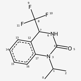 CC(C)N1C(=O)NC(C(F)(F)F)c2ccccc21